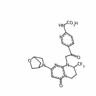 O=C(O)Nc1ccc(C(=O)CN2c3nc(N4CC5CC4CO5)cc(=O)n3CCC2C(F)(F)F)cn1